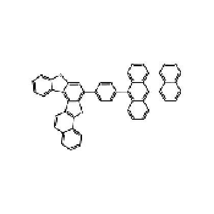 c1ccc2c(-c3c4ccccc4c(-c4ccc(-c5cc6sc7ccccc7c6c6c5sc5c7ccccc7ccc56)cc4)c4ccccc34)cccc2c1